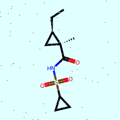 CC[C@@H]1C[C@]1(C)C(=O)NS(=O)(=O)C1CC1